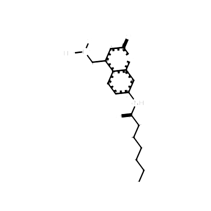 CCCCCCC(=O)Nc1ccc2c(CP(O)O)cc(=O)oc2c1